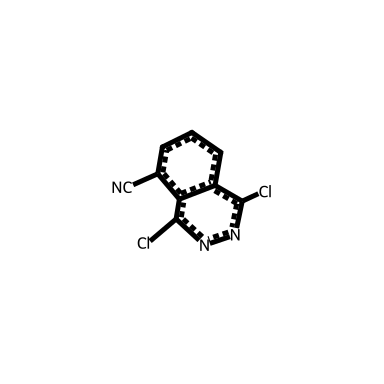 N#Cc1cccc2c(Cl)nnc(Cl)c12